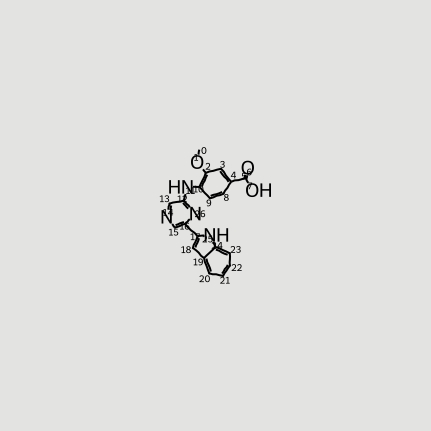 COc1cc(C(=O)O)ccc1Nc1cncc(-c2cc3ccccc3[nH]2)n1